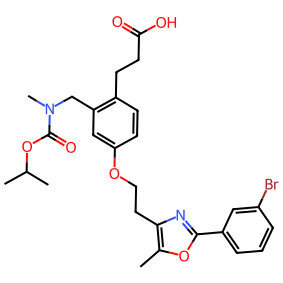 Cc1oc(-c2cccc(Br)c2)nc1CCOc1ccc(CCC(=O)O)c(CN(C)C(=O)OC(C)C)c1